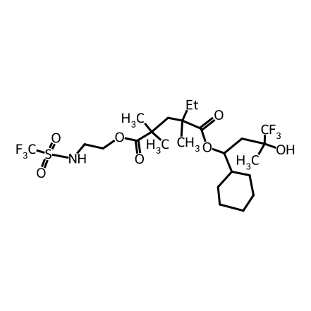 CCC(C)(CC(C)(C)C(=O)OCCNS(=O)(=O)C(F)(F)F)C(=O)OC(CC(C)(O)C(F)(F)F)C1CCCCC1